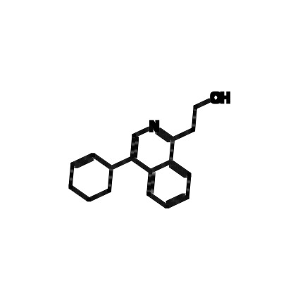 OCCc1ncc(C2C=CCCC2)c2ccccc12